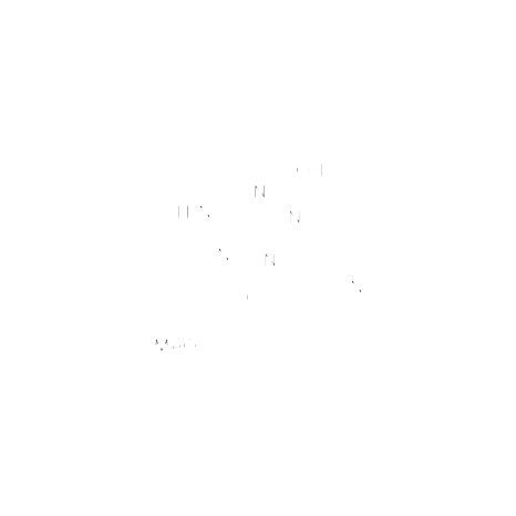 COCCOc1nc(N)c2nc(O)n(Cc3cccnc3)c2n1